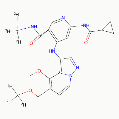 [2H]C([2H])([2H])NC(=O)c1cnc(NC(=O)C2CC2)cc1Nc1cnn2ccc(COC([2H])([2H])[2H])c(OC)c12